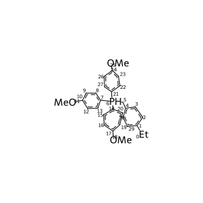 CCc1ccc(C[PH](c2ccc(OC)cc2)(c2ccc(OC)cc2)c2ccc(OC)cc2)cc1